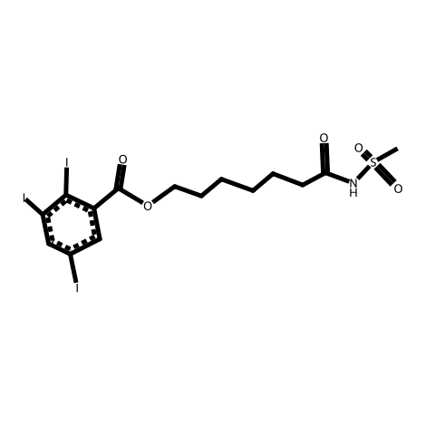 CS(=O)(=O)NC(=O)CCCCCCOC(=O)c1cc(I)cc(I)c1I